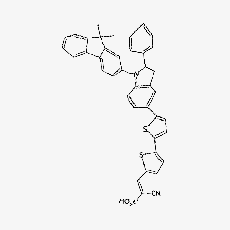 CC1(C)c2ccccc2-c2ccc(N3c4ccc(-c5ccc(-c6ccc(/C=C(\C#N)C(=O)O)s6)s5)cc4CC3c3ccccc3)cc21